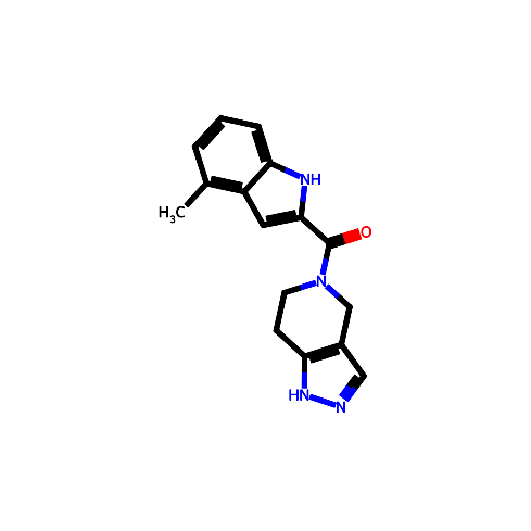 Cc1cccc2[nH]c(C(=O)N3CCc4[nH]ncc4C3)cc12